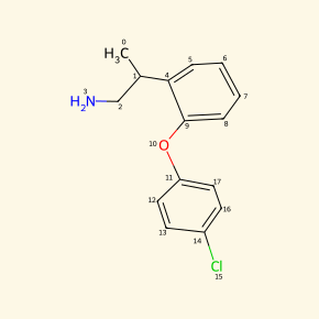 CC(CN)c1ccccc1Oc1ccc(Cl)cc1